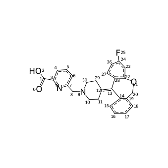 O=C(O)c1cccc(CN2CCC(=C3c4ccccc4COc4cc(F)ccc43)CC2)n1